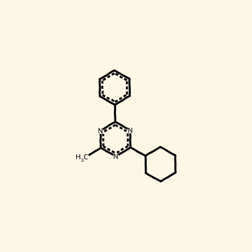 Cc1nc(-c2ccccc2)nc(C2CCCCC2)n1